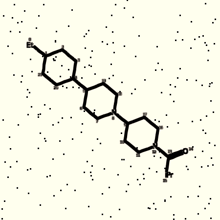 CCC1CCC(C2CCN(C3CCN(C(=O)C(C)C)CC3)CC2)CC1